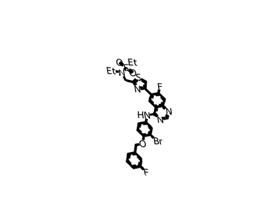 CCN(Cc1nc(-c2cc3c(Nc4ccc(OCc5cccc(F)c5)c(Br)c4)ncnc3cc2F)cs1)S(=O)(=O)CC